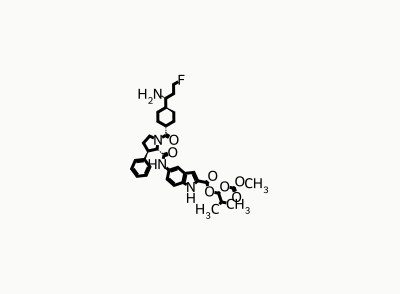 COC(=O)OC(OC(=O)c1cc2cc(NC(=O)[C@@H]3[C@@H](c4ccccc4)CCN3C(=O)[C@H]3CC[C@H]([C@H](N)CCF)CC3)ccc2[nH]1)C(C)C